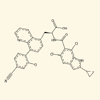 N#Cc1ccc(-c2ccc(C[C@H](NC(=O)c3c(Cl)cc4cc(C5CC5)[nH]c4c3Cl)C(=O)O)c3cccnc23)c(Cl)c1